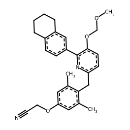 COCOc1ccc(Cc2c(C)cc(OCC#N)cc2C)nc1-c1ccc2c(c1)CCCC2